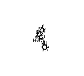 Cc1ccn([C@@H]2O[C@H](CNC3CCCCC3)[C@@H](O)C2(F)F)c(=O)n1